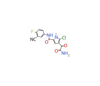 Cn1c(C(=O)Nc2ccc(F)c(C#N)c2)cc(C(=O)C(N)=O)c1Cl